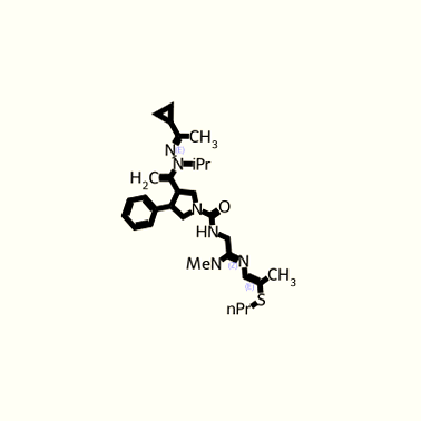 C=C(C1CN(C(=O)NC/C(=N/C=C(\C)SCCC)NC)CC1c1ccccc1)N(/N=C(\C)C1CC1)C(C)C